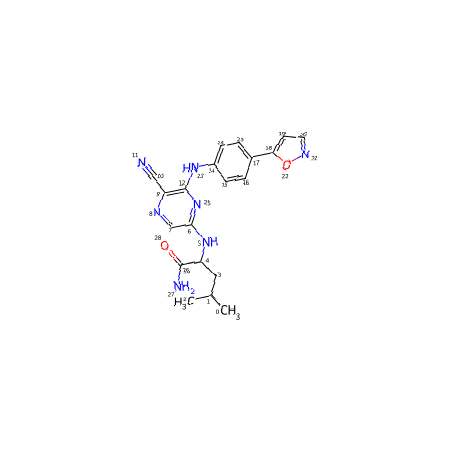 CC(C)CC(Nc1cnc(C#N)c(Nc2ccc(-c3ccno3)cc2)n1)C(N)=O